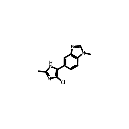 Cc1nc(Cl)c(-c2ccc3c(c2)ncn3C)[nH]1